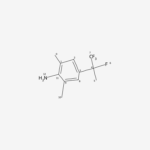 Cc1cc(C(C)(F)C(F)(F)F)cc(C)c1N